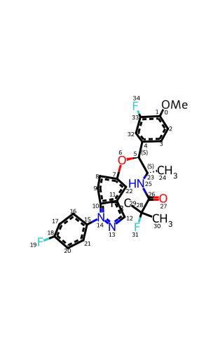 COc1ccc([C@H](Oc2ccc3c(cnn3-c3ccc(F)cc3)c2)[C@H](C)NC(=O)C(C)(C)F)cc1F